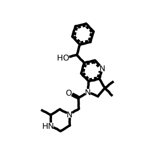 CC1CN(CC(=O)N2CC(C)(C)c3ncc(C(O)c4ccccc4)cc32)CCN1